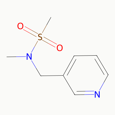 CN(Cc1cccnc1)S(C)(=O)=O